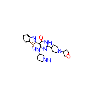 O=c1[nH]c(C2CCN(C3CCOC3)CC2)nc(N[C@@H]2CCCNC2)c1-c1nc2ccccc2s1